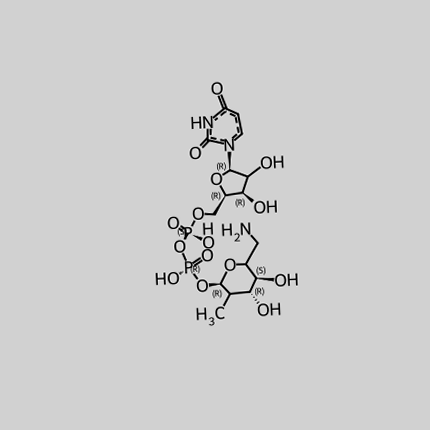 CC1[C@@H](O[P@@](=O)(O)O[P@@](=O)(O)OC[C@H]2O[C@@H](n3ccc(=O)[nH]c3=O)C(O)[C@H]2O)OC(CN)[C@@H](O)[C@@H]1O